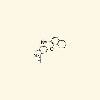 N#Cc1ccc2c(c1Oc1ccc3cn[nH]c3c1)CCCC2